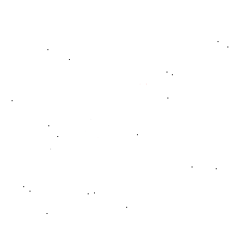 CC1(C)COP(=O)(C(=O)c2cccc(Oc3ccccc3)c2)OC1